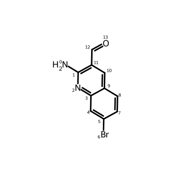 Nc1nc2cc(Br)ccc2cc1C=O